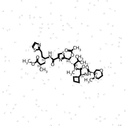 COC(=O)[C@@H](C)C[C@H](CCc1nccs1)NC(=O)c1csc([C@@H](C[C@H](C(C)C)N(C)C(=O)[C@@H](NC(=O)[C@H]2COCCN2C)C2CCC2)OC(C)=O)n1